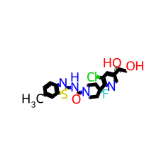 Cc1ccc2nc(NC(=O)N3CCC(F)(c4ncc([C@@H](O)CO)cc4Cl)CC3)sc2c1